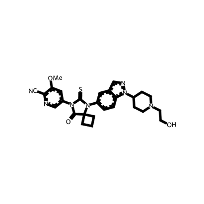 COc1cc(N2C(=O)C3(CCC3)N(c3ccc4c(cnn4C4CCN(CCO)CC4)c3)C2=S)cnc1C#N